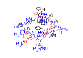 CC[C@H](C)[C@H](NC(=O)[C@H](Cc1ccccc1)NC(=O)[C@H](CCCNC(=N)N)NC(=O)[C@H](CO)NC(=O)CNC(=O)[C@H](Cc1c[nH]cn1)NC(=O)[C@@H](N)CCC(N)=O)C(=O)N[C@@H](CCC(N)=O)C(=O)N[C@@H](CC(C)C)C(=O)N[C@@H](CCCCN)C(=O)N[C@@H](CC(C)C)C(=O)N[C@@H](CCC(=O)O)C(=O)N[C@@H](CCCNC(=N)N)C(=O)O